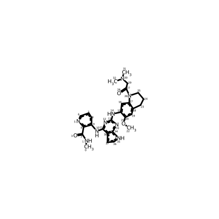 CNC(=O)c1ncccc1Nc1nc(Nc2cc3c(cc2OC)CCCN3C(=O)CN(C)C)nc2[nH]ccc12